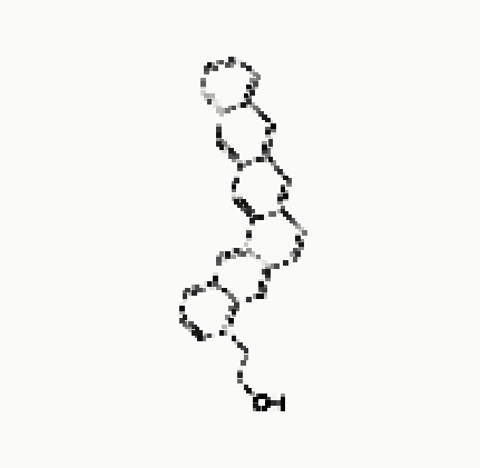 OCCc1cccc2cc3c(ccc4cc5cc6ccccc6cc5cc43)cc12